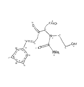 CNC(=O)N(CCO)C([C]=O)C(=O)C=Cc1ccccc1